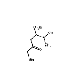 CCOC(=O)C(CC(=O)CC(C)(C)C)C(C)O